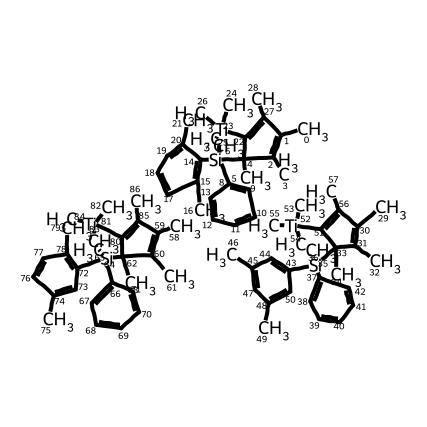 CC1=C(C)C(C)([Si](C)(c2ccccc2)c2c(C)cccc2C)[C]([Ti]([CH3])([CH3])[CH3])=C1C.CC1=C(C)C(C)([Si](C)(c2ccccc2)c2cc(C)cc(C)c2)[C]([Ti]([CH3])([CH3])[CH3])=C1C.CC1=C(C)C(C)([Si](C)(c2ccccc2)c2cc(C)ccc2C)[C]([Ti]([CH3])([CH3])[CH3])=C1C